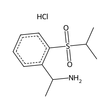 CC(N)c1ccccc1S(=O)(=O)C(C)C.Cl